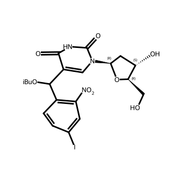 CC(C)COC(c1ccc(I)cc1[N+](=O)[O-])c1cn([C@H]2C[C@H](O)[C@@H](CO)O2)c(=O)[nH]c1=O